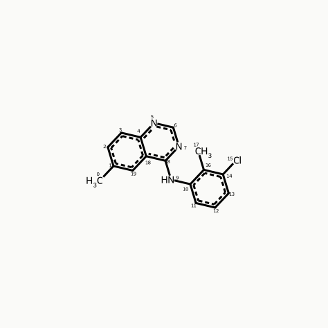 Cc1ccc2ncnc(Nc3cccc(Cl)c3C)c2c1